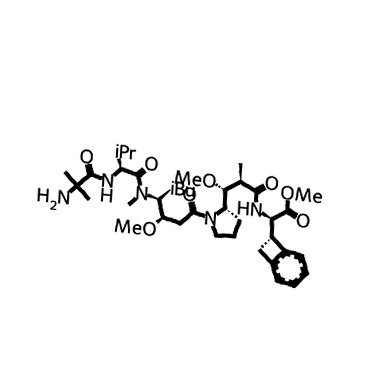 CC[C@H](C)[C@@H]([C@@H](CC(=O)N1CCC[C@H]1[C@H](OC)[C@@H](C)C(=O)N[C@@H](C(=O)OC)[C@H]1Cc2ccccc21)OC)N(C)C(=O)[C@@H](NC(=O)C(C)(C)N)C(C)C